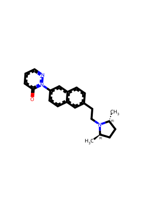 C[C@@H]1CC[C@@H](C)N1CCc1ccc2cc(-n3ncccc3=O)ccc2c1